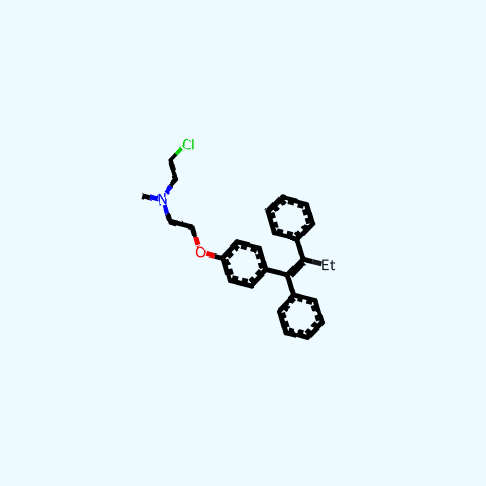 CC/C(=C(\c1ccccc1)c1ccc(OCCN(C)CCCl)cc1)c1ccccc1